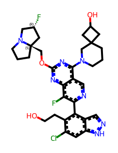 OCCc1c(Cl)cc2[nH]ncc2c1-c1ncc2c(N3CCCC4(CC(O)C4)C3)nc(OC[C@@]34CCCN3C[C@H](F)C4)nc2c1F